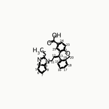 CSc1nc2ccccc2n1C/C=C1\c2ccccc2COc2ccc(C(=O)O)cc21